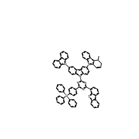 CC1CC=Cc2c1c1ccccc1n2-c1ccc2c(c1)c1cc(-n3c4ccccc4c4ccccc43)ccc1n2-c1nc(-c2ccc([Si](c3ccccc3)(c3ccccc3)c3ccccc3)cc2)nc(-c2cccc3c2sc2ccccc23)n1